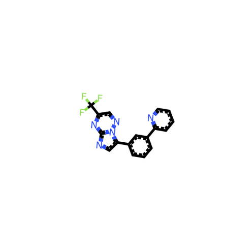 FC(F)(F)c1cnn2c(-c3cccc(-c4ccccn4)c3)cnc2n1